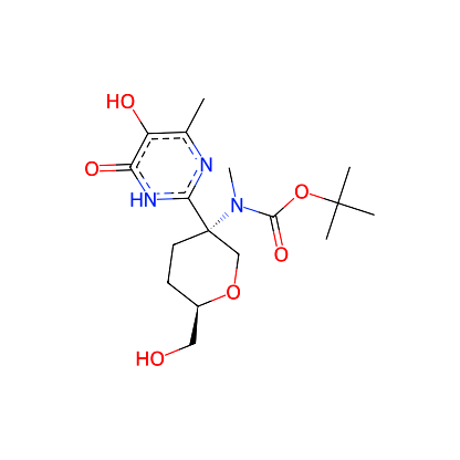 Cc1nc([C@]2(N(C)C(=O)OC(C)(C)C)CC[C@H](CO)OC2)[nH]c(=O)c1O